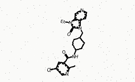 CCn1c(=O)n(CC2CCC(NC(=O)c3cc(Cl)cnc3C)CC2)c2ccncc21